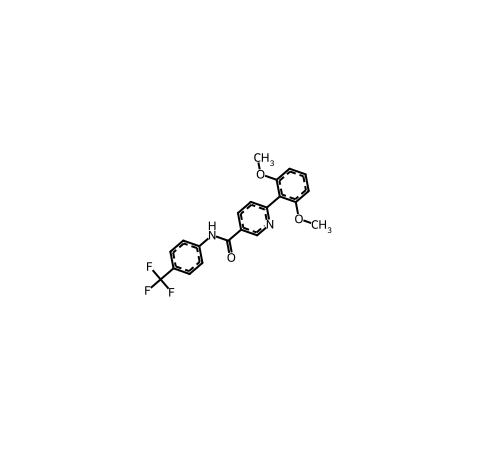 COc1cccc(OC)c1-c1ccc(C(=O)Nc2ccc(C(F)(F)F)cc2)cn1